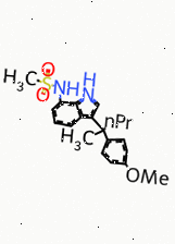 CCCC(C)(c1ccc(OC)cc1)c1c[nH]c2c(NS(C)(=O)=O)cccc12